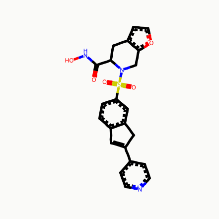 O=C(NO)C1Cc2ccoc2CN1S(=O)(=O)c1ccc2c(c1)CC(c1ccncc1)=C2